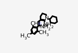 Cc1cc(C)c(/C(N)=C/C2=C(N)N(C3CCCCC3)CCC2)c(C)c1